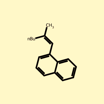 CCCC/C(C)=C\c1cccc2ccccc12